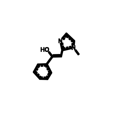 Cn1ccnc1C=C(O)c1ccccc1